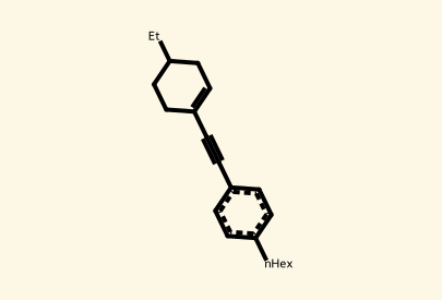 CCCCCCc1ccc(C#CC2=CCC(CC)CC2)cc1